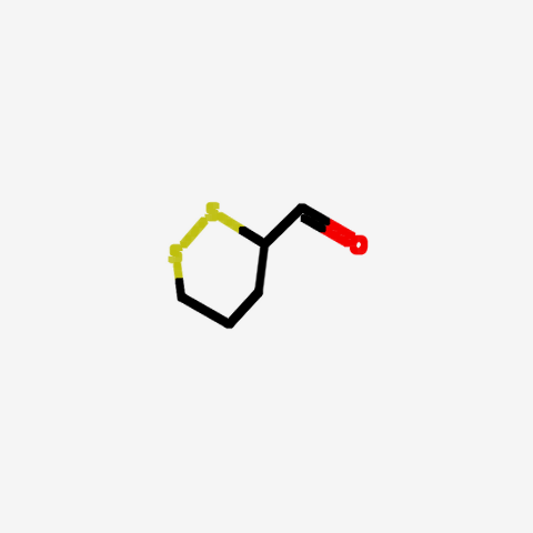 O=CC1CCCSS1